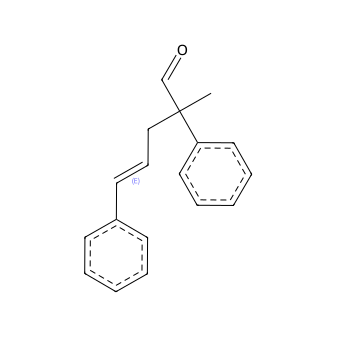 CC(C=O)(C/C=C/c1ccccc1)c1ccccc1